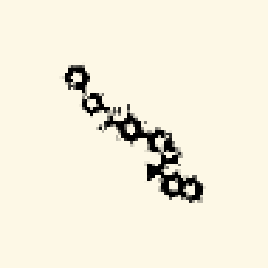 O=C(NC1CCN(c2ccccn2)C1)c1ccc(-c2cnc3ncc(C4(c5ccc6ncccc6c5)C=C4)n3c2)cc1F